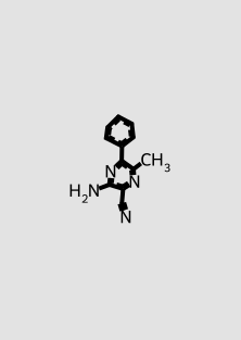 Cc1nc(C#N)c(N)nc1-c1ccccc1